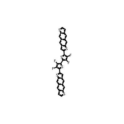 Fc1c(-c2cc3cc4cc5sccc5cc4cc3s2)sc(-c2sc(-c3cc4cc5cc6sccc6cc5cc4s3)c(F)c2F)c1F